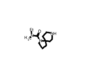 CCN(C)C(=O)N1CCCC12CCNCC2